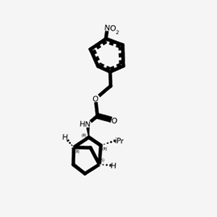 CC(C)[C@@H]1[C@H]2CC[C@H](C2)[C@H]1NC(=O)OCc1ccc([N+](=O)[O-])cc1